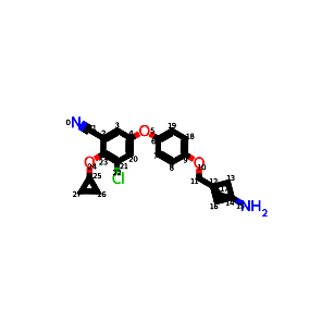 N#Cc1cc(Oc2ccc(OCC34CC(N)(C3)C4)cc2)cc(Cl)c1OC1CC1